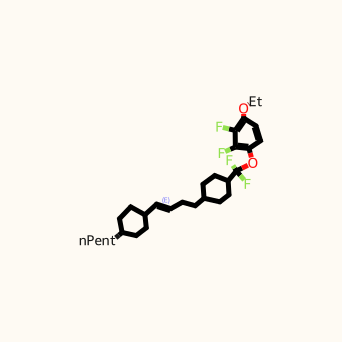 CCCCCC1CCC(/C=C/CCC2CCC(C(F)(F)Oc3ccc(OCC)c(F)c3F)CC2)CC1